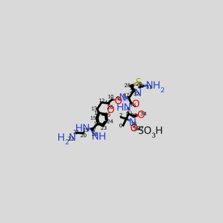 CC1(C)[C@H](NC(=O)/C(=N\OCC2CCc3cc(C(=N)NCCN)ccc3O2)c2csc(N)n2)C(=O)N1OS(=O)(=O)O